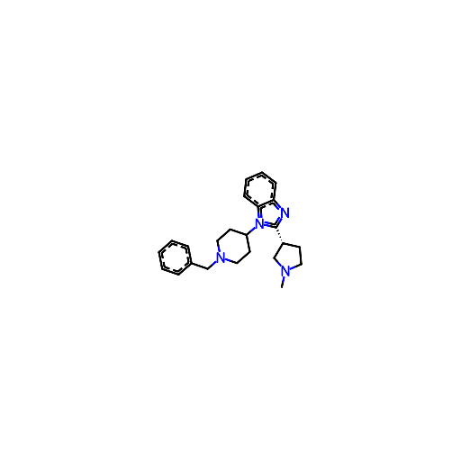 CN1CC[C@@H](c2nc3ccccc3n2C2CCN(Cc3ccccc3)CC2)C1